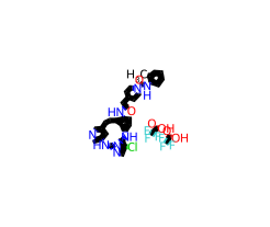 Cc1ccccc1NC(=O)N1CCC(CC(=O)Nc2ccc3cc2CCc2cncc(c2)Nc2ncc(Cl)c(n2)N3)CC1.O=C(O)C(F)(F)F.O=C(O)C(F)(F)F